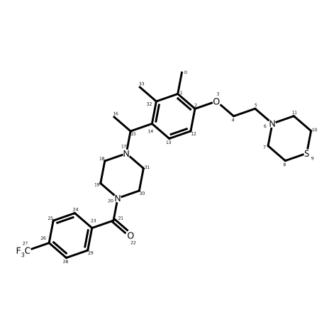 Cc1c(OCCN2CCSCC2)ccc(C(C)N2CCN(C(=O)c3ccc(C(F)(F)F)cc3)CC2)c1C